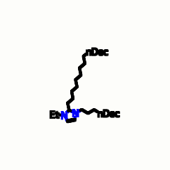 CCCCCCCCCCCCCCCCCCCC1N(CC)C=CN1CCCCCCCCCCCCC